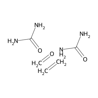 C=C.C=O.NC(N)=O.NC(N)=O